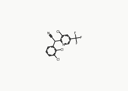 N#CC(c1cccc(Cl)c1Cl)c1ncc(C(F)(F)F)cc1Cl